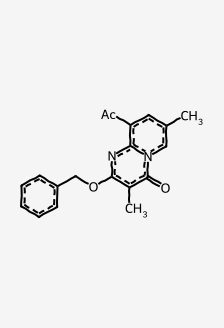 CC(=O)c1cc(C)cn2c(=O)c(C)c(OCc3ccccc3)nc12